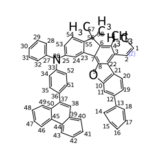 C/C=C\c1c(C)c2c(c3oc4cc(-c5ccccc5)ccc4c13)-c1cc(N(c3ccccc3)c3ccc(-c4cc5ccccc5c5ccccc45)cc3)ccc1C2(C)C